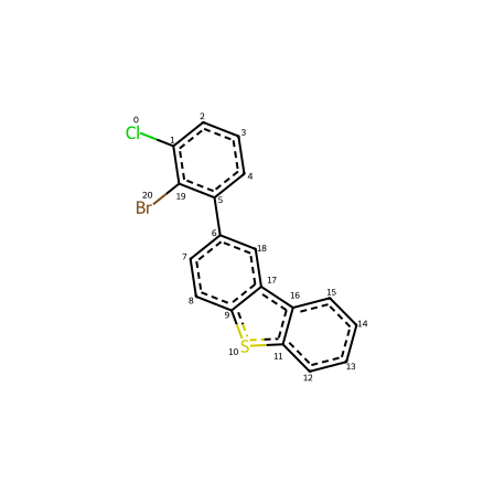 Clc1cccc(-c2ccc3sc4ccccc4c3c2)c1Br